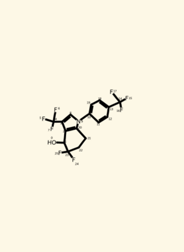 OC1c2c(C(F)(F)F)cn(-c3ccc(C(F)(F)F)cc3)c2CCC1(F)F